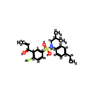 C=CC(=O)c1cc(S(=O)(=O)N(CC(C)C)c2ccc(CC)cc2)ccc1F